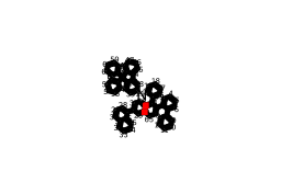 C1=C(c2ccccc2-c2ccccc2)C(c2ccccc2N(c2cccc(-c3cccc4ccccc34)c2)c2ccc3c(c2)-c2ccccc2C3(c2ccccc2)c2ccccc2)=CCC1